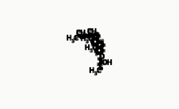 CSCC(O)COC1CCC2(C)C(=CCC3C2CC[C@]2(C)C(C(C)CCCC(C)C)CCC32)C1